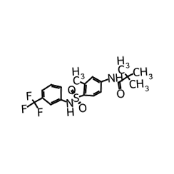 Cc1cc(NC(=O)C(C)(C)C)ccc1S(=O)(=O)Nc1cccc(C(F)(F)F)c1